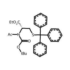 C[CH]OC(=O)[C@H](CSC(c1ccccc1)(c1ccccc1)c1ccccc1)N(C(C)=O)C(=O)OC(C)(C)C